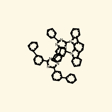 c1ccc(-c2cccc(-c3nc(-c4cccc(-c5ccccc5)c4)nc(-c4cccc(-n5c6ccccc6c6ccc7c8ccccc8n(-c8nc(-c9ccccc9)nc(-c9ccccc9)n8)c7c65)c4)n3)c2)cc1